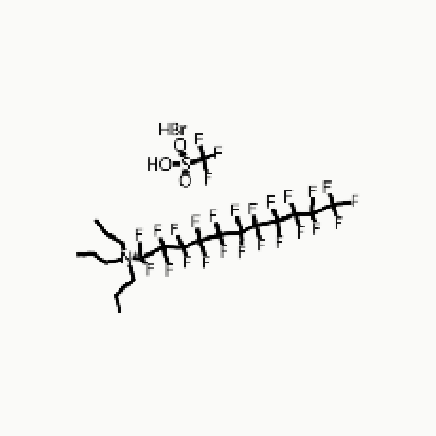 Br.CCC[N+](CCC)(CCC)C(F)(F)C(F)(F)C(F)(F)C(F)(F)C(F)(F)C(F)(F)C(F)(F)C(F)(F)C(F)(F)C(F)(F)C(F)(F)F.O=S(=O)(O)C(F)(F)F